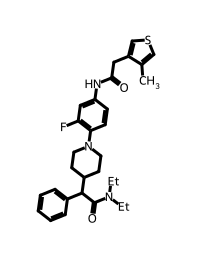 CCN(CC)C(=O)C(c1ccccc1)C1CCN(c2ccc(NC(=O)Cc3cscc3C)cc2F)CC1